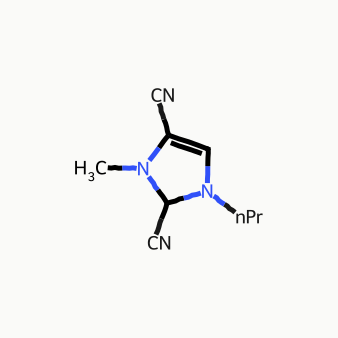 CCCN1C=C(C#N)N(C)C1C#N